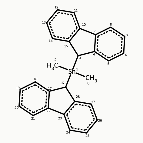 [CH3][Sn]([CH3])([CH]1c2ccccc2-c2ccccc21)[CH]1c2ccccc2-c2ccccc21